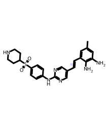 Cc1cc(N)c(N)c(/C=C/c2cnc(Nc3ccc(S(=O)(=O)C4CCNCC4)cc3)nc2)c1